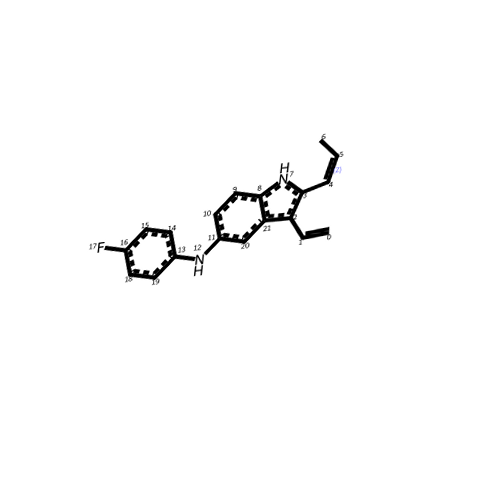 C=Cc1c(/C=C\C)[nH]c2ccc(Nc3ccc(F)cc3)cc12